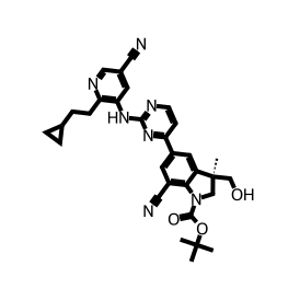 CC(C)(C)OC(=O)N1C[C@](C)(CO)c2cc(-c3ccnc(Nc4cc(C#N)cnc4CCC4CC4)n3)cc(C#N)c21